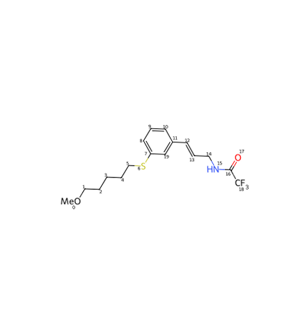 COCCCCCSc1cccc(/C=C/CNC(=O)C(F)(F)F)c1